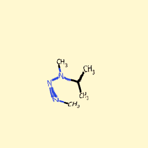 C/N=N\N(C)C(C)C